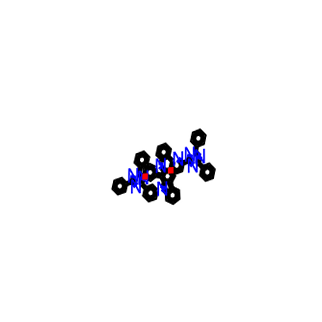 c1ccc(-c2nc(-c3ccccc3)nc(-c3cccc(-n4c5ccccc5c5ccc6c(c7ccccc7n6-c6ccccc6-c6cccc(-c7nc(-c8ccccc8)nc(-c8ccccc8)n7)n6)c54)c3)n2)cc1